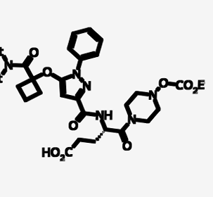 CCOC(=O)ON1CCN(C(=O)[C@H](CCC(=O)O)NC(=O)c2cc(OC3(C(=O)N(CC)CC)CCC3)n(-c3ccccc3)n2)CC1